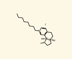 CCCCCCCC[n+]1ccc2c(c1)[C@@H]1[C@H](CC2)CCN1C.[I-]